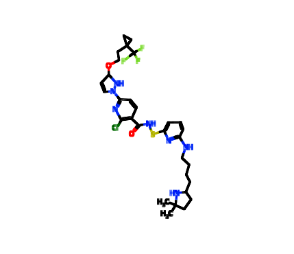 CC1(C)CCC(CCCCNc2cccc(SNC(=O)c3ccc(N4C=CC(OCCC5(C(F)(F)F)CC5)N4)nc3Cl)n2)N1